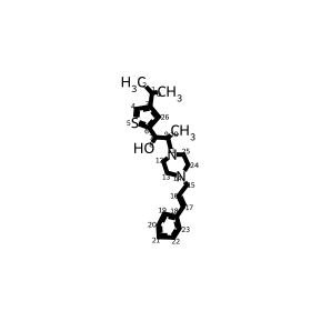 CC(C)c1csc(C(O)C(C)N2CCN(CC=Cc3ccccc3)CC2)c1